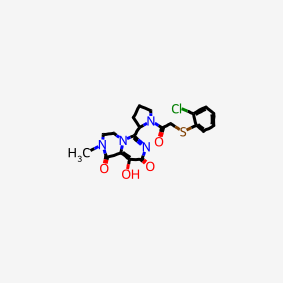 CN1CCn2c(C3CCCN3C(=O)CSc3ccccc3Cl)nc(=O)c(O)c2C1=O